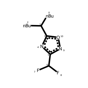 CCCCC(CCCC)c1nc(C(F)F)no1